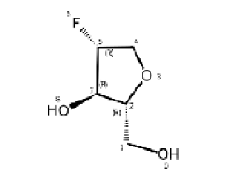 OC[C@H]1OC[C@@H](F)[C@@H]1O